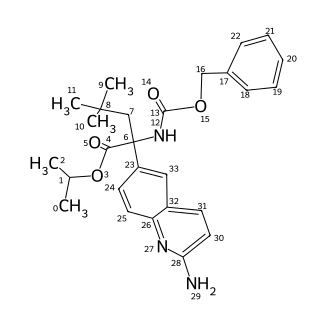 CC(C)OC(=O)C(CC(C)(C)C)(NC(=O)OCc1ccccc1)c1ccc2nc(N)ccc2c1